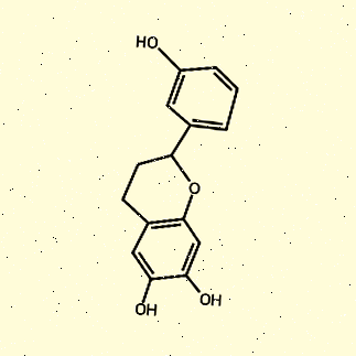 Oc1cccc(C2CCc3cc(O)c(O)cc3O2)c1